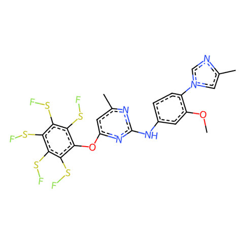 COc1cc(Nc2nc(C)cc(Oc3c(SF)c(SF)c(SF)c(SF)c3SF)n2)ccc1-n1cnc(C)c1